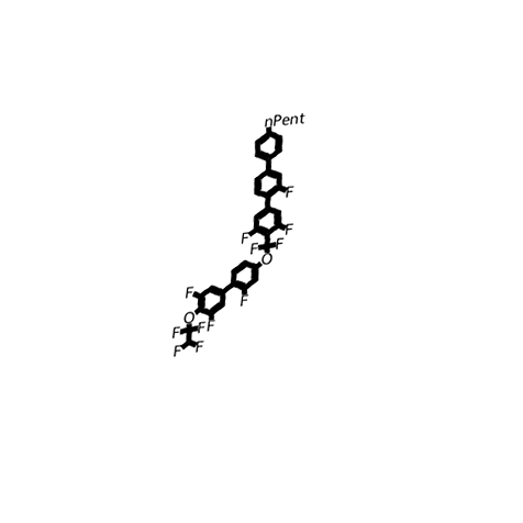 CCCCCc1ccc(-c2ccc(-c3cc(F)c(C(F)(F)Oc4ccc(-c5cc(F)c(OC(F)(F)C(F)F)c(F)c5)c(F)c4)c(F)c3)c(F)c2)cc1